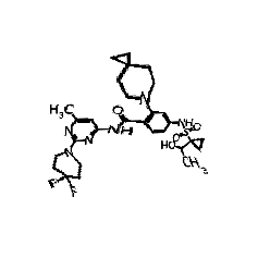 Cc1cc(NC(=O)c2ccc(NS(=O)(=O)C3([C@@H](C)O)CC3)cc2N2CCC3(CC2)CC3)nc(N2CCC(F)(F)CC2)n1